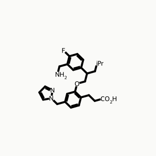 CC(C)CC(COc1cc(Cn2cccn2)ccc1CCC(=O)O)c1ccc(F)c(CN)c1